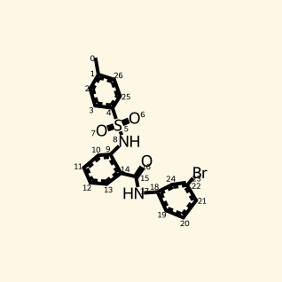 Cc1ccc(S(=O)(=O)Nc2ccccc2C(=O)Nc2cccc(Br)c2)cc1